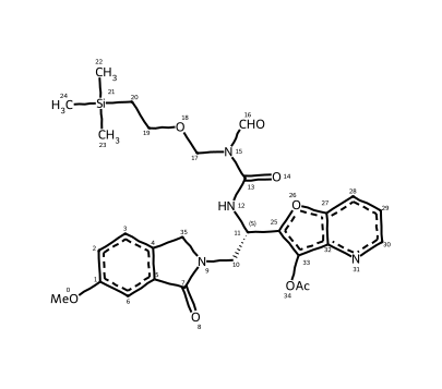 COc1ccc2c(c1)C(=O)N(C[C@H](NC(=O)N(C=O)COCC[Si](C)(C)C)c1oc3cccnc3c1OC(C)=O)C2